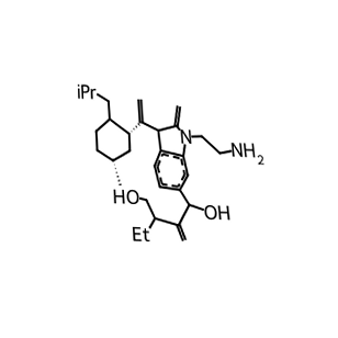 C=C(C(CC)CO)C(O)c1ccc2c(c1)N(CCN)C(=C)C2C(=C)[C@@H]1C[C@H](C)CCC1CC(C)C